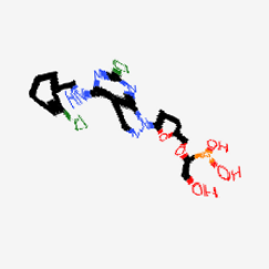 OCC(OCC1CCC(n2ncc3c(NCc4ccccc4Cl)nc(Cl)nc32)O1)P(O)O